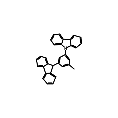 Cc1cc(C2c3ccccc3-c3ccccc32)cc(-n2c3ccccc3c3ccccc32)c1